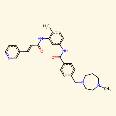 Cc1ccc(NC(=O)c2ccc(CN3CCCN(C)CC3)cc2)cc1NC(=O)/C=C/c1cccnc1